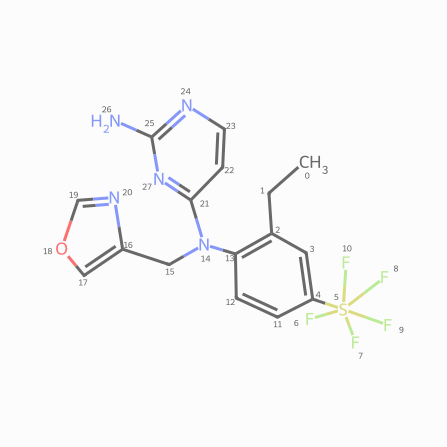 CCc1cc(S(F)(F)(F)(F)F)ccc1N(Cc1cocn1)c1ccnc(N)n1